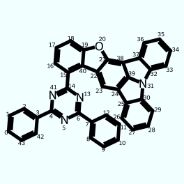 c1ccc(-c2nc(-c3ccccc3)nc(-c3cccc4oc5c(cc6c7ccccc7n7c8ccccc8c5c67)c34)n2)cc1